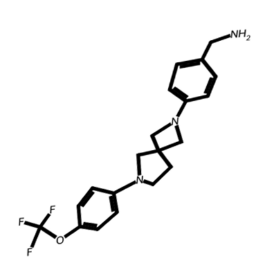 NCc1ccc(N2CC3(CCN(c4ccc(OC(F)(F)F)cc4)C3)C2)cc1